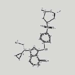 C[C@@H]1CN(S(=O)(=O)c2ccc(Nc3nn([C@@H](CC#N)C4CC4)c4cc[nH]c(=O)c34)cc2)C[C@@H](C)O1